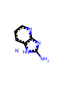 Nc1nc2ncccc2[nH]1.[N]